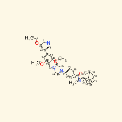 CCOc1cncc(-c2cc(OC)c(CN3CCN(c4ccc(C(=O)N(C)CC56CC7CC(CC(C7)C5)C6)cc4)CC3)c(OC)c2)c1